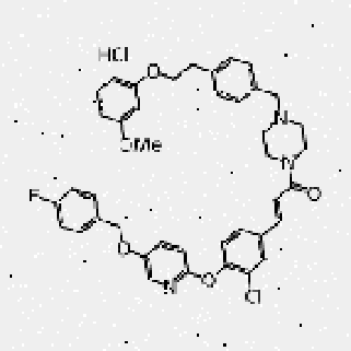 COc1cccc(OCCc2ccc(CN3CCN(C(=O)C=Cc4ccc(Oc5ccc(OCc6ccc(F)cc6)cn5)c(Cl)c4)CC3)cc2)c1.Cl